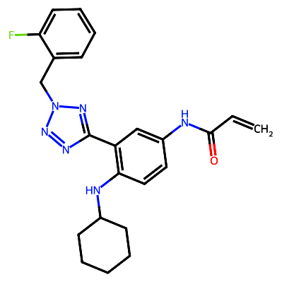 C=CC(=O)Nc1ccc(NC2CCCCC2)c(-c2nnn(Cc3ccccc3F)n2)c1